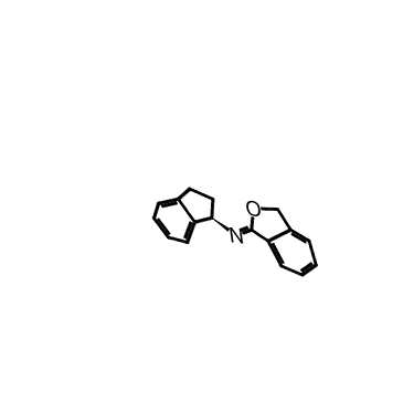 c1ccc2c(c1)COC2=N[C@@H]1CCc2ccccc21